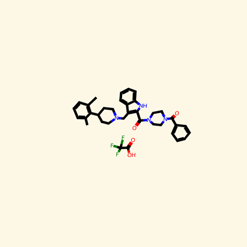 Cc1cccc(C)c1C1CCN(Cc2c(C(=O)N3CCN(C(=O)c4ccccc4)CC3)[nH]c3ccccc23)CC1.O=C(O)C(F)(F)F